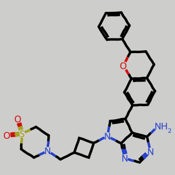 Nc1ncnc2c1c(-c1ccc3c(c1)OC(c1ccccc1)CC3)cn2C1CC(CN2CCS(=O)(=O)CC2)C1